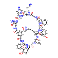 C[C@H]1NC(=O)C(Cc2ccc(O)cc2)NC(=O)C(c2ccccc2)NC(=O)c2cc3cc(c2)C(=O)NC[C@@H](C(N)=O)NC(=O)C(Cc2c[nH]cn2)NC(=O)[C@@H](CCCCN)NC(=O)CNC(=O)C(Cc2ccccc2)NC(=O)C(Cc2ccc(O)cc2)NC(=O)[C@H](CCCCNC3=O)NC1=O